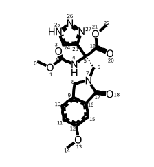 COC(=O)N[C@](CN1Cc2ccc(OC)cc2C1=O)(C(=O)OC)c1c[nH]nn1